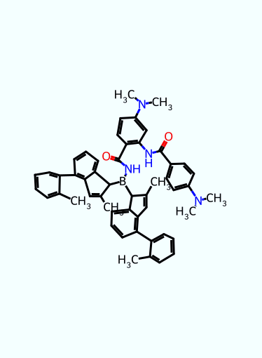 CC1=Cc2c(-c3ccccc3C)cccc2C1B(NC(=O)c1ccc(N(C)C)cc1NC(=O)c1ccc(N(C)C)cc1)C1C(C)=Cc2c(-c3ccccc3C)cccc21